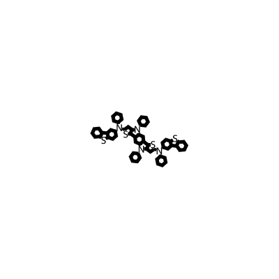 c1ccc(N(c2ccc3sc4ccccc4c3c2)c2cc3c(s2)c2cc4c(cc2n3-c2ccccc2)c2sc(N(c3ccccc3)c3ccc5sc6ccccc6c5c3)cc2n4-c2ccccc2)cc1